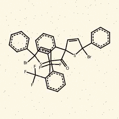 O=C(C1(c2ccccc2C(F)(F)F)C=CC(Br)(c2ccccc2)S1)C1(c2ccccc2C(F)(F)F)C=CC(Br)(c2ccccc2)S1